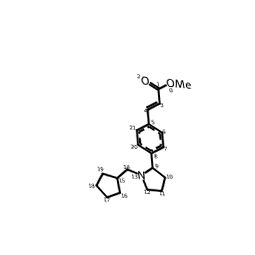 COC(=O)C=Cc1ccc(C2CCCN2CC2CCCC2)cc1